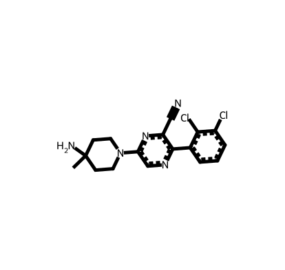 CC1(N)CCN(c2cnc(-c3cccc(Cl)c3Cl)c(C#N)n2)CC1